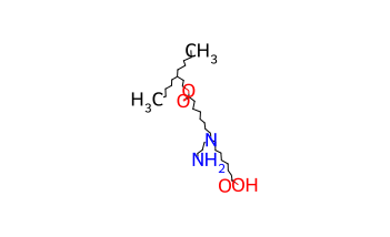 CCCCCC(CCCCC)CCOC(=O)CCCCCCCN(CCCN)CCCCCCCC(=O)O